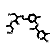 C/C=C(\C=C(\C)C(=O)CC)C(=N/c1cc(CNC(CC(C)C)C(=O)OC(C)COC)ccc1C)/C(C)C